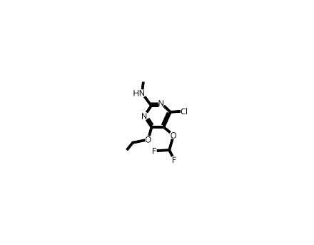 CCOc1nc(NC)nc(Cl)c1OC(F)F